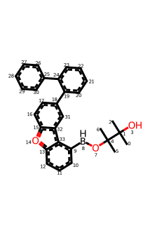 CC(C)(O)C(C)(C)OBc1cccc2oc3ccc(-c4ccccc4-c4ccccc4)cc3c12